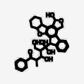 CC(C(=O)c1ccccc1)C(O)C(CO)C(O)(O)C1c2ccccc2-c2c3c(c4c(c21)OC1CCCCC41)C(O)OC3